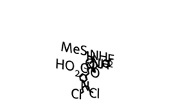 CSCC[C@H](N)C(=O)N[C@@H](Cc1ccc(F)cc1)C(=O)N[C@@H](Cc1cccc(N(CCCl)CCCl)c1)C(=O)O